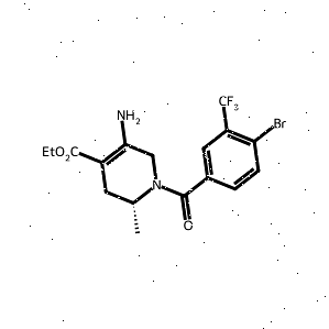 CCOC(=O)C1=C(N)CN(C(=O)c2ccc(Br)c(C(F)(F)F)c2)[C@H](C)C1